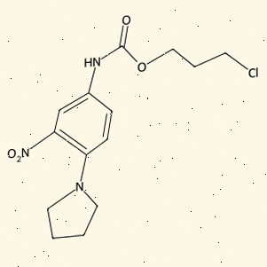 O=C(Nc1ccc(N2CCCC2)c([N+](=O)[O-])c1)OCCCCl